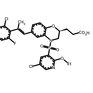 CCOc1ncc(Cl)cc1S(=O)(=O)N1C[C@H](CCC(=O)O)Oc2ccc(C=C(C)c3c(F)cccc3Cl)cc21